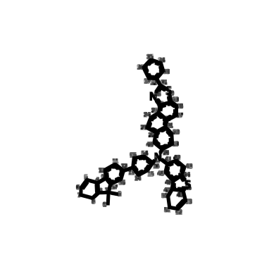 CC1(C)C2=C(C=CCC2)c2ccc(-c3ccc(N(c4ccc5c(ccc6c5ccc5sc(-c7ccccc7)nc56)c4)c4ccc5sc6c(c5c4)CCC=C6)cc3)cc21